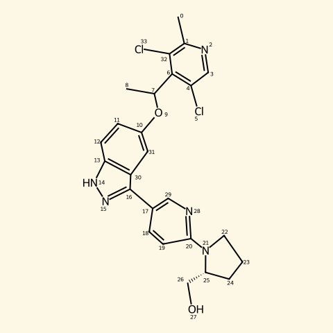 Cc1ncc(Cl)c(C(C)Oc2ccc3[nH]nc(-c4ccc(N5CCC[C@@H]5CO)nc4)c3c2)c1Cl